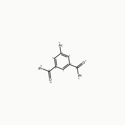 CC(=O)c1cc(C(=O)C(C)C)cc(C(=O)C(C)C)c1